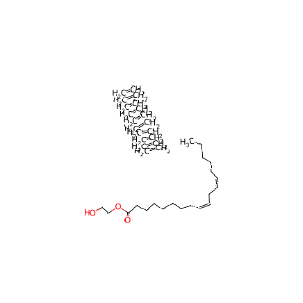 C=C.C=C.C=C.C=C.C=C.C=C.C=C.C=C.C=C.C=C.CCCCC/C=C\C/C=C\CCCCCCCC(=O)OCCO